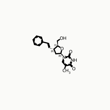 Cc1cn([C@H]2C[C@H](C=Cc3ccccc3)[C@@H](CO)O2)c(=O)[nH]c1=O